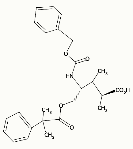 CC([C@H](COC(=O)C(C)(C)c1ccccc1)NC(=O)OCc1ccccc1)[C@H](C)C(=O)O